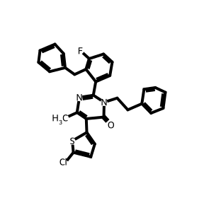 Cc1nc(-c2cccc(F)c2Cc2ccccc2)n(CCc2ccccc2)c(=O)c1-c1ccc(Cl)s1